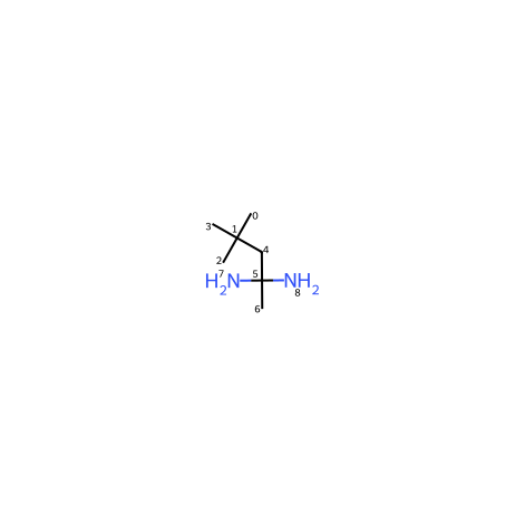 CC(C)(C)CC(C)(N)N